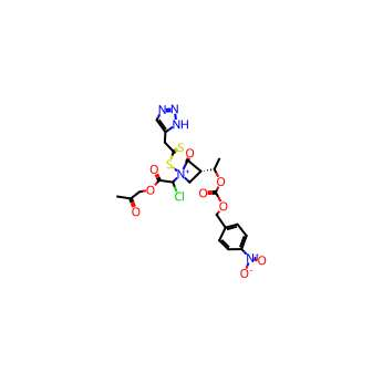 CC(=O)COC(=O)C(Cl)[N+]1(SC(=S)Cc2cnn[nH]2)C[C@@H](C(C)OC(=O)OCc2ccc([N+](=O)[O-])cc2)C1=O